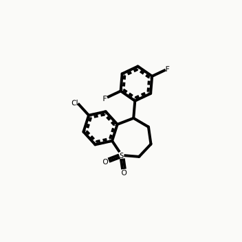 O=S1(=O)CCCC(c2cc(F)ccc2F)c2cc(Cl)ccc21